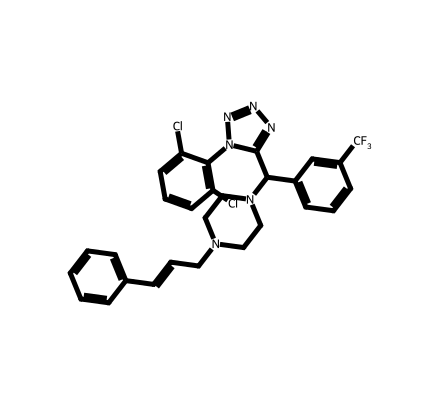 FC(F)(F)c1cccc(C(c2nnnn2-c2c(Cl)cccc2Cl)N2CCN(CC=Cc3ccccc3)CC2)c1